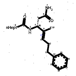 CCCCCCCC(=O)N[C@H](CC(N)=O)/C(F)=C/CCc1ccccc1